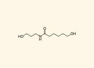 O=C(CCCCCO)NCCCO